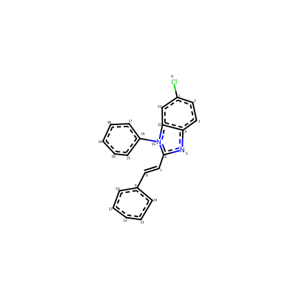 Clc1ccc2nc(C=Cc3ccccc3)n(-c3ccccc3)c2c1